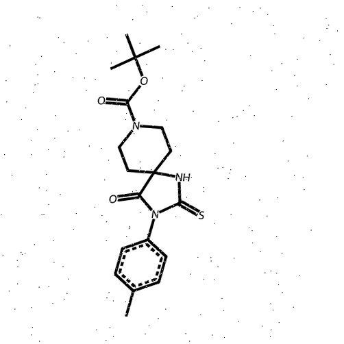 Cc1ccc(N2C(=O)C3(CCN(C(=O)OC(C)(C)C)CC3)NC2=S)cc1